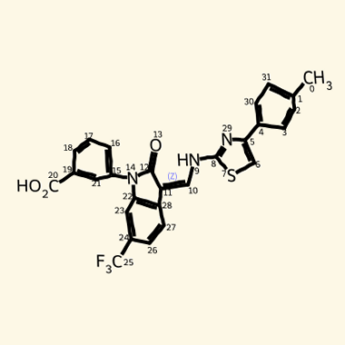 Cc1ccc(-c2csc(N/C=C3\C(=O)N(c4cccc(C(=O)O)c4)c4cc(C(F)(F)F)ccc43)n2)cc1